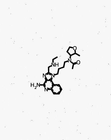 CCNCc1nc2c(N)nc3ccccc3c2n1CCCCN(C(C)=O)C1CCOC1C